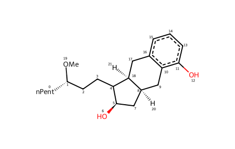 CCCCC[C@@H](CCC1[C@H](O)C[C@@H]2Cc3c(O)cccc3C[C@H]12)OC